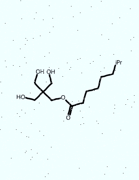 CC(C)CCCCCC(=O)OCC(CO)(CO)CO